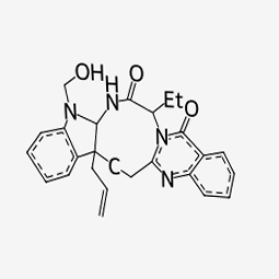 C=CCC12CCc3nc4ccccc4c(=O)n3C(CC)C(=O)NC1N(CO)c1ccccc12